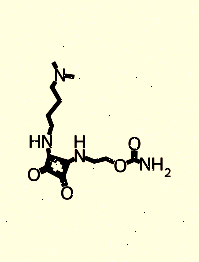 CN(C)CCCCNc1c(NCCOC(N)=O)c(=O)c1=O